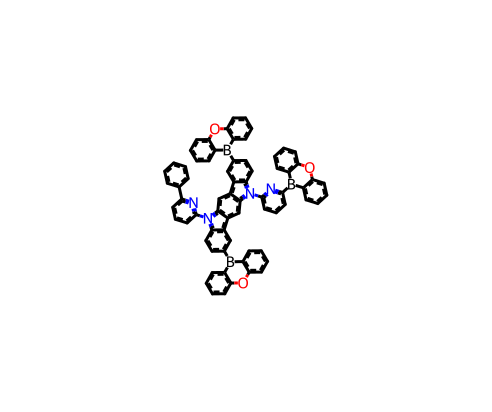 c1ccc(-c2cccc(-n3c4ccc(B5c6ccccc6Oc6ccccc65)cc4c4cc5c(cc43)c3cc(B4c6ccccc6Oc6ccccc64)ccc3n5-c3cccc(B4c5ccccc5Oc5ccccc54)n3)n2)cc1